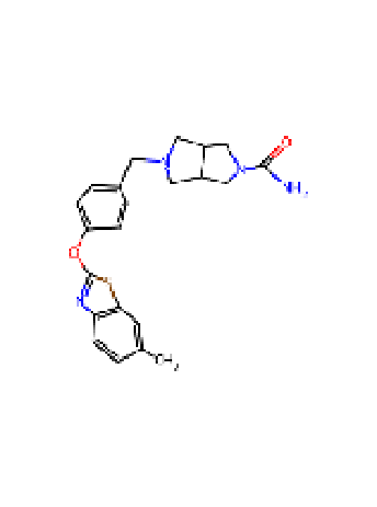 Cc1ccc2nc(Oc3ccc(CN4CC5CN(C(N)=O)CC5C4)cc3)sc2c1